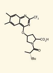 Cc1cc2nc(C(F)(F)F)nc(OC3CC(C(=O)O)N(C(=O)[C@@H](C)C(C)(C)C)C3)c2cc1C